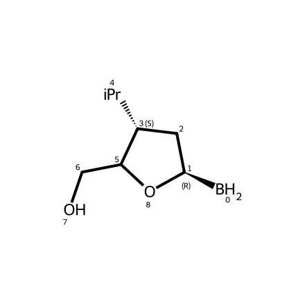 B[C@@H]1C[C@@H](C(C)C)C(CO)O1